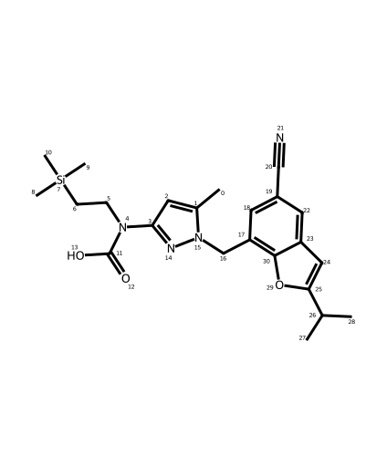 Cc1cc(N(CC[Si](C)(C)C)C(=O)O)nn1Cc1cc(C#N)cc2cc(C(C)C)oc12